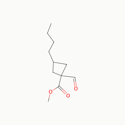 CCCCC1CC(C=O)(C(=O)OC)C1